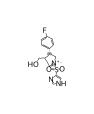 C[N@+]1(S(=O)(=O)c2c[nH]cn2)CC(CO)[C@H](c2ccc(F)cc2)C1